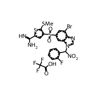 CSc1sc(C(=N)N)cc1S(=O)(=O)c1cc(Br)c2ncn(C(c3ccccc3F)[N+](=O)[O-])c2c1.O=C(O)C(F)(F)F